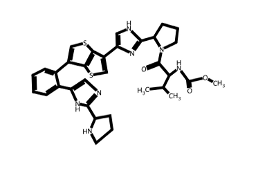 COC(=O)NC(C(=O)N1CCCC1c1nc(-c2csc3c(-c4ccccc4-c4cnc(C5CCCN5)[nH]4)csc23)c[nH]1)C(C)C